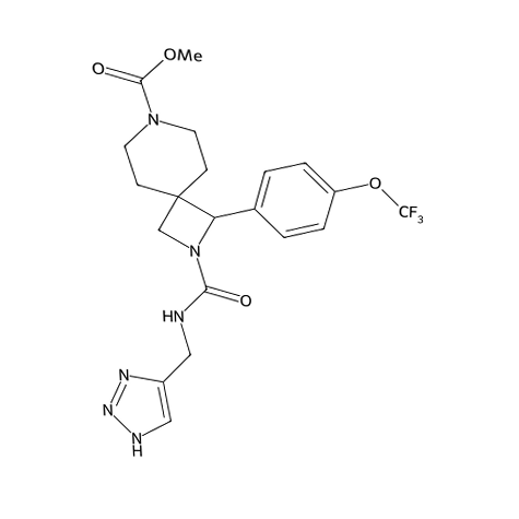 COC(=O)N1CCC2(CC1)CN(C(=O)NCc1c[nH]nn1)C2c1ccc(OC(F)(F)F)cc1